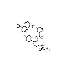 CC[C@H](NC(=O)CC1CCN(c2ncc(S(C)(=O)=O)cc2NC(=O)c2cccc(Cl)c2)CC1)c1ccccc1